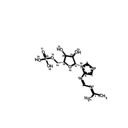 CC(C)=N/C=N\c1cncn1[C@@H]1O[C@H](COP(=O)(O)O)C(O)C1O